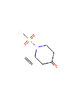 C=C.CC(C)S(=O)(=O)N1CCC(=O)CC1